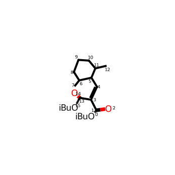 CC(C)COC(=O)C(=CC1C(C)CCCC1C)C(=O)OCC(C)C